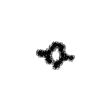 c1ccc(-c2ccc(N(c3ccc(-c4ccc5c(ccc6ccccc65)c4)cc3)c3ccc(-c4ccc5c(ccc6ccc(-c7cccc(-c8ccc(-c9ccc(N(c%10ccc%11c(ccc%12ccccc%12%11)c%10)c%10ccc%11c(ccc%12ccccc%12%11)c%10)cc9)cc8)c7)cc65)c4)cc3)cc2)cc1